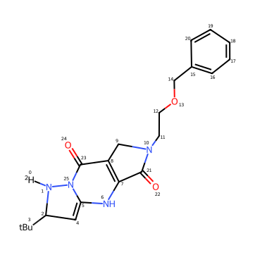 [2H]N1C(C(C)(C)C)C=C2NC3=C(CN(CCOCc4ccccc4)C3=O)C(=O)N21